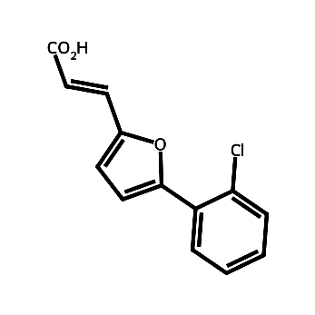 O=C(O)/C=C/c1ccc(-c2ccccc2Cl)o1